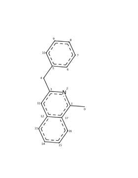 Cc1nc(Cc2ccccc2)cc2ccccc12